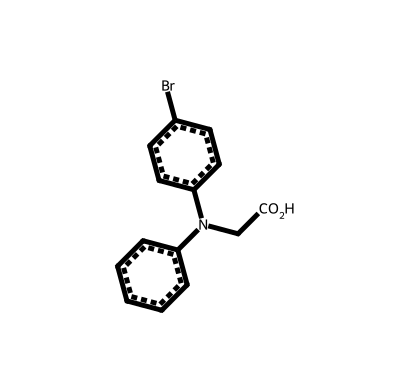 O=C(O)CN(c1ccccc1)c1ccc(Br)cc1